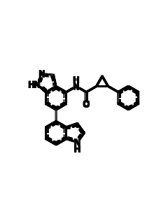 O=C(Nc1cc(-c2cccc3[nH]ccc23)cc2[nH]ncc12)C1CC1c1ccccc1